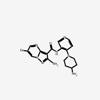 CCc1cnc2c(C(=O)Nc3cnccc3N3CCC(N)CC3)c(N)nn2c1